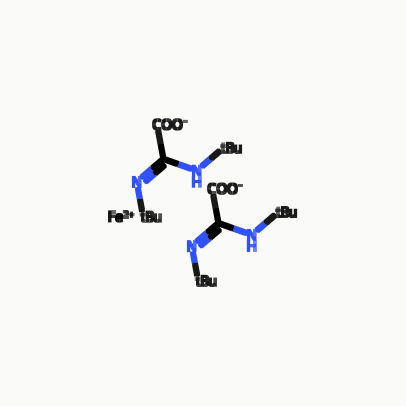 CC(C)(C)N=C(NC(C)(C)C)C(=O)[O-].CC(C)(C)N=C(NC(C)(C)C)C(=O)[O-].[Fe+2]